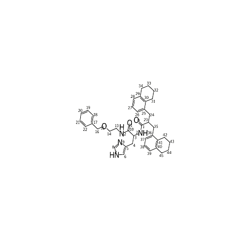 O=C(NC(Cc1c[nH]cn1)C(=O)NCCOCc1ccccc1)C(Cc1cccc2c1CCCC2)Cc1cccc2c1CCCC2